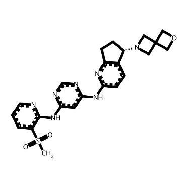 CS(=O)(=O)c1cccnc1Nc1cc(Nc2ccc3c(n2)CC[C@@H]3N2CC3(COC3)C2)ncn1